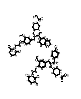 COc1cc(CN(C[C@H]2CC[C@H](C(=O)O)CC2)C(C)c2ccc3c(c2)CCO3)ccc1OCCN1C(=O)CCCC1=O.COc1cc(CN(C[C@H]2CC[C@H](C(=O)O)CC2)[C@@H](C)c2ccc(Cl)cc2)ccc1OCCn1c(=O)ccn(C)c1=O